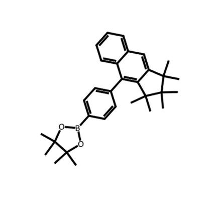 CC1(C)OB(c2ccc(-c3c4c(cc5ccccc35)C(C)(C)C(C)(C)C4(C)C)cc2)OC1(C)C